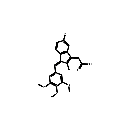 COc1cc(/C=C2\C(C)=C(CC(=O)O)c3cc(F)ccc32)cc(OC)c1OC